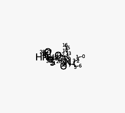 CCCCC(CC)CN(CC(CC)CCCC)C(=O)CCC(=O)c1cc(NC(C)=O)cs1